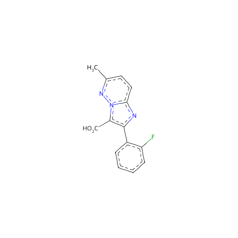 Cc1ccc2nc(-c3ccccc3F)c(C(=O)O)n2n1